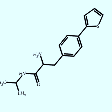 CC(C)NC(=O)C(N)Cc1ccc(-c2cccs2)cc1